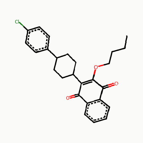 CCCCOC1=C(C2CCC(c3ccc(Cl)cc3)CC2)C(=O)c2ccccc2C1=O